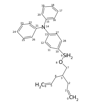 C=CCC(CC=C)CO[SiH2]c1ccc(N(c2ccccc2)c2ccccc2)cc1